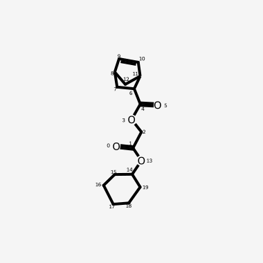 O=C(COC(=O)C1CC2C=CC1C2)OC1CCCCC1